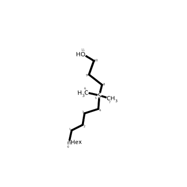 CCCCCCCCCCS(C)(C)CCCO